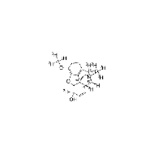 [2H]C([2H])([2H])Oc1ccc2c3c1OC1C([2H])(O)C=C[C@@]4([2H])[C@H](N(C([2H])([2H])[2H])CC[C@]314)C2([2H])[2H]